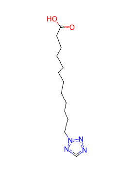 O=C(O)CCCCCCCCCCCn1ncnn1